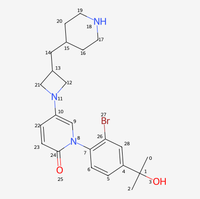 CC(C)(O)c1ccc(-n2cc(N3CC(CC4CCNCC4)C3)ccc2=O)c(Br)c1